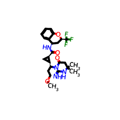 COCCC([C@@H]1C[C@H]1C(=O)N[C@H]1C[C@H](C(F)(F)F)Oc2ccccc21)N1C(=N)NC(C)(C)CC1=O